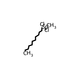 CCCCCCCCCCC[CH2][Sn]([CH3])([Cl])[Cl]